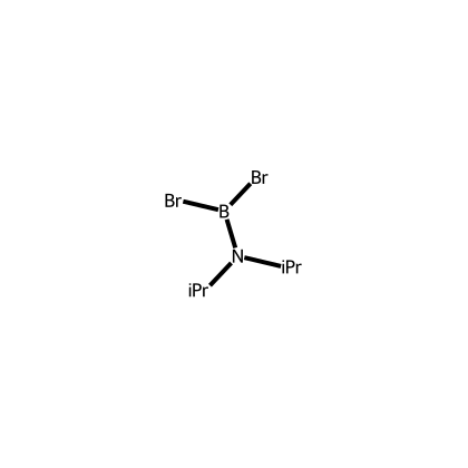 CC(C)N(B(Br)Br)C(C)C